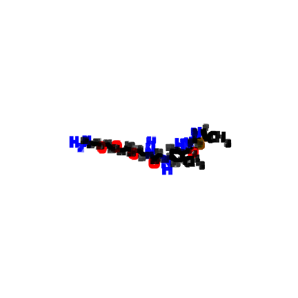 Cc1cnc(NC(=O)c2ccc(NCC(=O)NCCOCCOCCOCCN)cc2C)s1